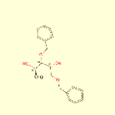 O=C[C@@H](O)[C@H](OCc1ccccc1)[C@H](O)COCc1ccccc1